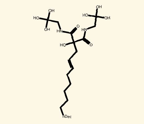 CCCCCCCCCCCCCCCC=CCC(O)(C(=O)NCC(O)(O)O)C(=O)NCC(O)(O)O